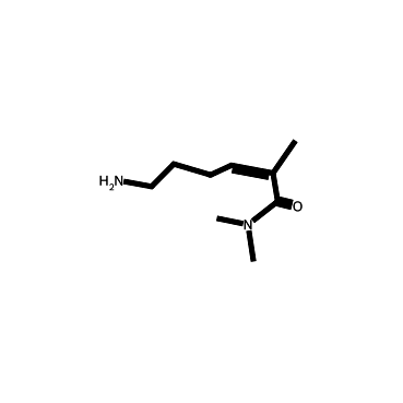 CC(=CCCCN)C(=O)N(C)C